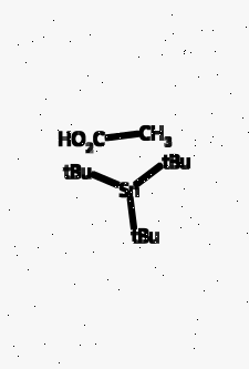 CC(=O)O.C[C](C)(C)[Sn]([C](C)(C)C)[C](C)(C)C